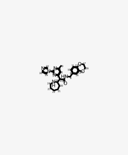 Cc1cc(C(C(=O)NCc2ccc3c(c2)OCCO3)C2CCCCCN2)nc(-n2ccnc2)n1